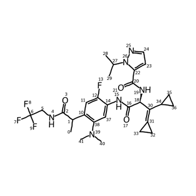 CC(C(=O)NCC(F)(F)F)c1cc(F)c(NC(=O)[C@@H](NC(=O)c2ccnn2C(C)C)C(=C2CC2)C2CC2)cc1N(C)C